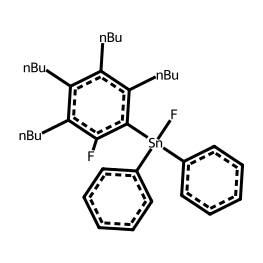 CCCCc1c(F)[c]([Sn]([F])([c]2ccccc2)[c]2ccccc2)c(CCCC)c(CCCC)c1CCCC